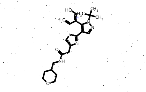 C=C/C(=C\O)c1c(-c2nc(CC(=O)NCC3CCOCC3)cs2)cnn1C(C)(C)C